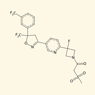 CS(=O)(=O)CC(=O)N1CC(F)(c2ccc(C3=NOC(c4cccc(C(F)(F)F)c4)(C(F)(F)F)C3)cn2)C1